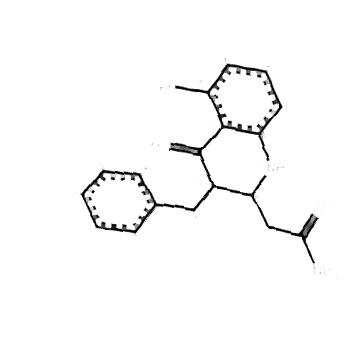 NC(=O)CC1Nc2cccc(Br)c2C(=O)C1Cc1ccccc1